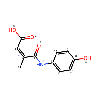 C/C(=C/C(=O)O)C(=O)Nc1ccc(O)cc1